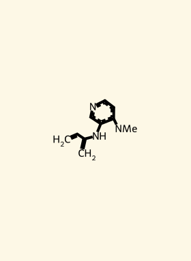 C=CC(=C)Nc1cnccc1NC